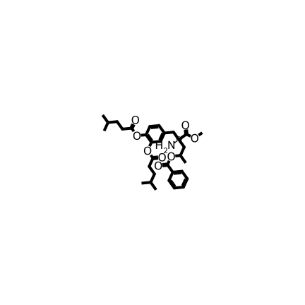 COC(=O)[C@](N)(Cc1ccc(OC(=O)CCC(C)C)c(OC(=O)CCC(C)C)c1)CC(C)OC(=O)c1ccccc1